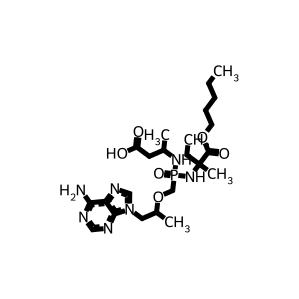 CCCCCOC(=O)C(C)(CC)NP(=O)(COC(C)Cn1cnc2c(N)ncnc21)NC(C)CC(=O)O